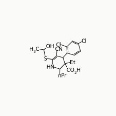 CCCC1NC(SC(C)O)=C(C#N)C(c2ccc(Cl)cc2Cl)C1(CC)C(=O)O